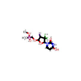 CCOP(C)(=O)COC1OC(n2ccc(O)nc2=O)C(F)(F)C1I